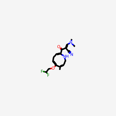 CC1=C/CN/C(C(=O)/C(C#N)=C/N(C)C)=C\C/C=C\1OCC(F)F